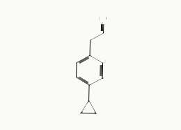 O=CCc1ccc(C2CC2)cc1